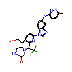 Cc1ccc(Nc2ccc3c(c2)ncn3-c2ccc(CCO)c(C(N3CCNC(=O)C3)C(F)(F)F)n2)nn1